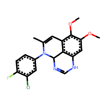 COc1cc2c3c(c1OC)C=C(C)N(c1ccc(F)c(Cl)c1)C3N=CN2